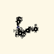 COc1cc2ncnc(Nc3ccc4c(cnn4Cc4cccc(F)c4)c3)c2cc1NC(=O)/C=C/CN1CC2OCCOC2C1